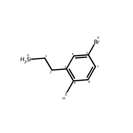 [SiH3]CCc1cc(Br)ccc1I